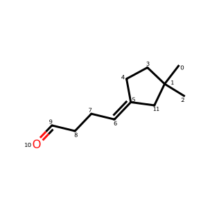 CC1(C)CCC(=CCCC=O)C1